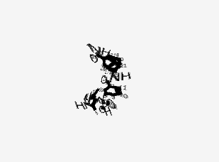 Cc1n[nH]c(C)c1N(c1cccc(C(=O)NC2C3CC4CC2CC(C(N)=O)(C4)C3)c1)[SH](=O)=O